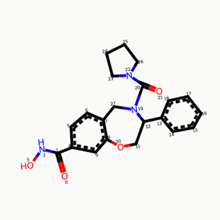 O=C(NO)c1ccc2c(c1)OCC(c1ccccc1)N(C(=O)N1CCCC1)C2